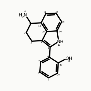 NC1CCc2c(-c3ccccc3O)[nH]c3cccc1c23